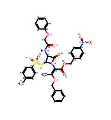 C/C(OCc1ccccc1)=C(/C(=O)OCc1ccc([N+](=O)[O-])cc1)N1C(=O)C(NC(=O)COc2ccccc2)C1SS(=O)(=O)c1ccc(C)cc1